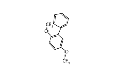 FC(F)(F)Oc1ccc(OC(F)(F)F)c(-c2ccccc2)c1